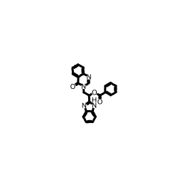 O=C(OC(Cn1cnc2ccccc2c1=O)c1nc2ccccc2[nH]1)c1ccccc1